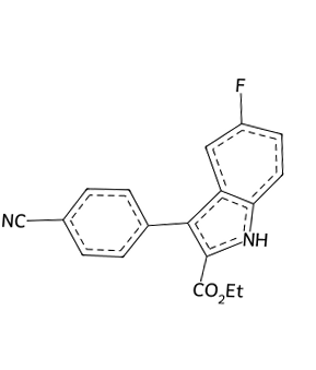 CCOC(=O)c1[nH]c2ccc(F)cc2c1-c1ccc(C#N)cc1